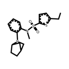 CCc1ccc(S(=O)(=O)N(C)c2ccccc2N2CC3CCC2C3)s1